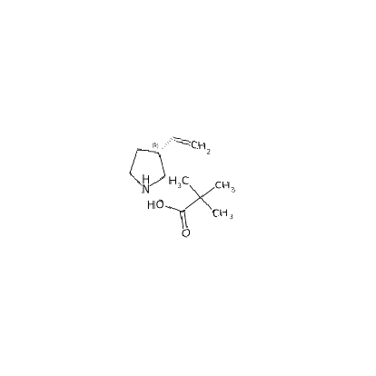 C=C[C@H]1CCNC1.CC(C)(C)C(=O)O